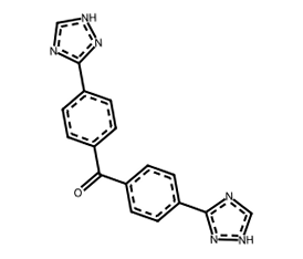 O=C(c1ccc(-c2nc[nH]n2)cc1)c1ccc(-c2nc[nH]n2)cc1